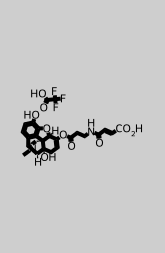 CN1CC[C@]23c4c5ccc(O)c4O[C@H]2C(OC(=O)CCNC(=O)/C=C/C(=O)O)=CC[C@@]3(O)[C@H]1C5.O=C(O)C(F)(F)F